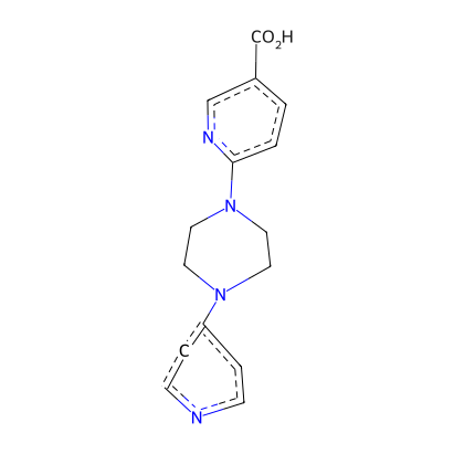 O=C(O)c1ccc(N2CCN(c3ccncc3)CC2)nc1